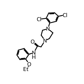 CCOc1ccccc1NC(=O)CN1CCN(c2cc(Cl)ccc2Cl)CC1